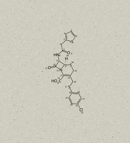 O=C(Cc1cccs1)NC1C(=O)N2C(C(=O)O)=C(CSc3ccc(Cl)cc3)CS[C@H]12